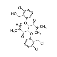 CN(C)C(=O)C(Oc1cncc(Cl)c1CO)C(Oc1cncc(Cl)c1CCl)C(=O)N(C)C